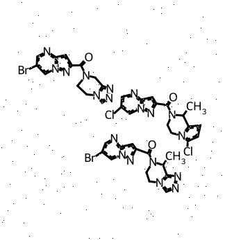 CC1c2ccc(Cl)n2CCN1C(=O)c1cc2ncc(Cl)cn2n1.CC1c2nncn2CCN1C(=O)c1cc2ncc(Br)cn2n1.O=C(c1cc2ncc(Br)cn2n1)N1CCn2cnnc2C1